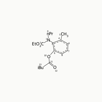 CCCN(C(=O)OCC)c1c(C)cccc1OC(=O)C(C)CC